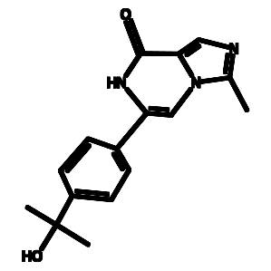 Cc1ncc2c(=O)[nH]c(-c3ccc(C(C)(C)O)cc3)cn12